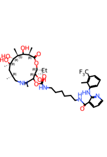 CC[C@H]1OC(=O)[C@H](C)C(O)[C@H](C)[C@@H](O)[C@](C)(O)C[C@@H](C)CN[C@H](C)C(OC(=O)NCCCCCCNC(=O)c2cccnc2Nc2cccc(C(F)(F)F)c2C)[C@]1(C)O